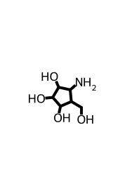 NC1C(O)C(O)C(O)C1CO